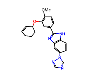 COc1ccc(-c2nc3cc(-n4cncn4)ccc3[nH]2)cc1OC1C=CCCC1